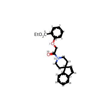 CCOC(=O)c1ccccc1OCC(=O)N1CCC2(C=Cc3ccccc32)CC1